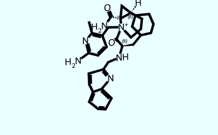 Cc1nc(N)ccc1C[N+]1(C(=O)[C@@H](CC2CCCCC2)NCc2ccc3ccccc3n2)CCC[C@@H]2C[C@@]21C(N)=O